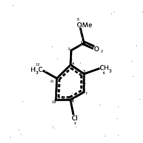 COC(=O)Cc1c(C)cc(Cl)cc1C